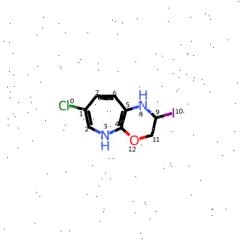 ClC1=CNC2=C(C=C1)NC(I)CO2